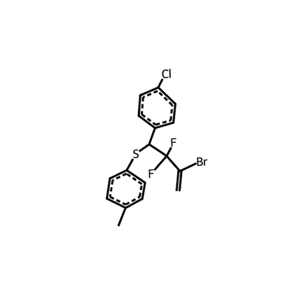 C=C(Br)C(F)(F)C(Sc1ccc(C)cc1)c1ccc(Cl)cc1